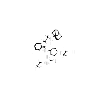 Cc1ccc2nc(C(=O)NC34CC5CC(CC(C5)C3)C4)nc(NC3CCCCC3NC(=N)N)c2c1.O=C(O)C(F)(F)F.O=C(O)C(F)(F)F